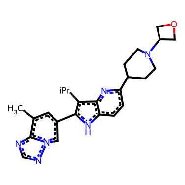 Cc1cc(-c2[nH]c3ccc(C4CCN(C5COC5)CC4)nc3c2C(C)C)cn2ncnc12